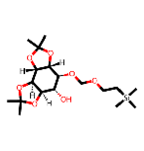 CC1(C)O[C@H]2[C@@H]3OC(C)(C)O[C@@H]3[C@@H](O)[C@H](OCOCC[Si](C)(C)C)[C@H]2O1